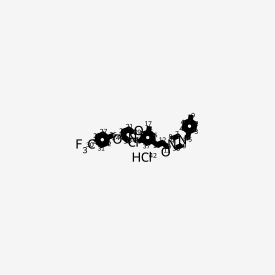 Cc1ccc(CN2CCN(C(=O)C=Cc3cc(C)c(Oc4ccc(OCc5ccc(C(F)(F)F)cc5)cn4)c(Cl)c3)CC2)cc1.Cl